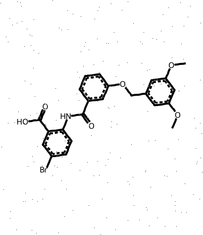 COc1cc(COc2cccc(C(=O)Nc3ccc(Br)cc3C(=O)O)c2)cc(OC)c1